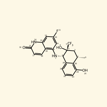 C[C@H]1C[C@](O)(C(F)(F)F)[C@@H](Nc2cc(F)cc3[nH]c(=O)ccc23)c2cccc(O)c21